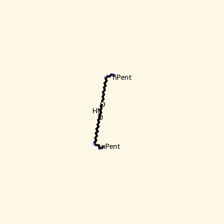 CCCCC/C=C\C/C=C\CCCCCCCCCCOCCNCCOCCCCCCCCCC/C=C\C/C=C\CCCCC